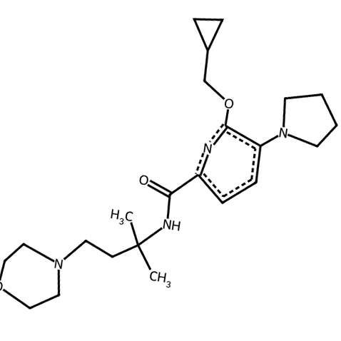 CC(C)(CCN1CCOCC1)NC(=O)c1ccc(N2CCCC2)c(OCC2CC2)n1